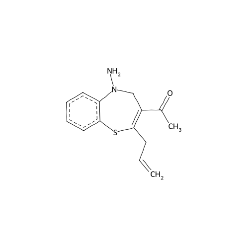 C=CCC1=C(C(C)=O)CN(N)c2ccccc2S1